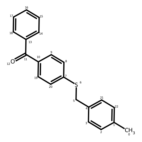 Cc1ccc(CSc2ccc(C(=O)c3ccccc3)cc2)cc1